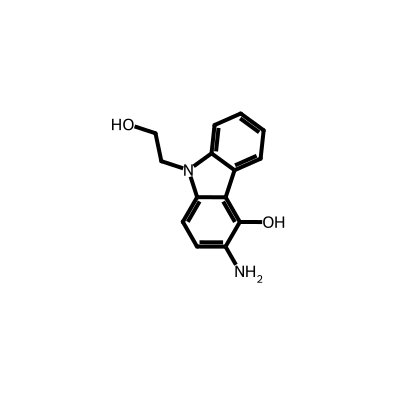 Nc1ccc2c(c1O)c1ccccc1n2CCO